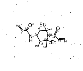 C=CC(=O)NC1CC(C)(CC)N(C(=O)C=C)C(C)(CC)C1C